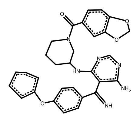 N=C(c1ccc(Oc2ccccc2)cc1)c1c(N)ncnc1NC1CCCN(C(=O)c2ccc3c(c2)OCO3)C1